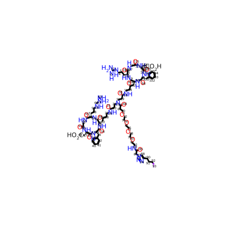 N=C(N)NCCC[C@@H]1NC(=O)[C@H](CCCCNC(=O)CCN(CCC(=O)NCCCC[C@@H]2NC(=O)[C@@H](Cc3ccccc3)NC(=O)[C@H](CC(=O)O)NC(=O)CNC(=O)[C@H](CCCNCNN)NC2=O)C(=O)CCOCCOCCOCCOCCNC(=O)Cn2cc(CCCI)nn2)NC(=O)[C@@H](Cc2ccccc2)NC(=O)[C@H](CC(=O)O)NC(=O)CNC1=O